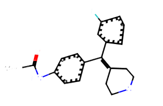 COC(=O)Nc1ccc(C(=C2CCNCC2)c2cccc(F)c2)cc1